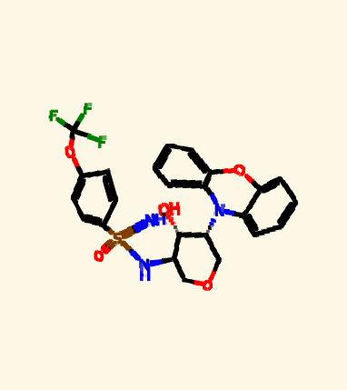 N=S(=O)(N[C@@H]1COC[C@@H](N2c3ccccc3Oc3ccccc32)[C@H]1O)c1ccc(OC(F)(F)F)cc1